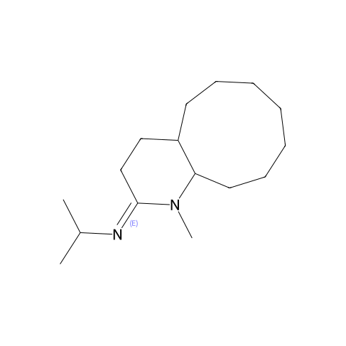 CC(C)/N=C1\CCC2CCCCCCCC2N1C